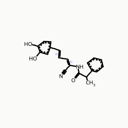 CC(C(=O)N/C(C#N)=C/C=C/c1ccc(O)c(O)c1)c1ccccc1